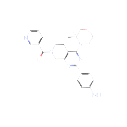 C[C@H]1COCCN1c1nc(-c2ccc(N)cc2)nc2c1CCN(C(=O)c1cccnc1)C2